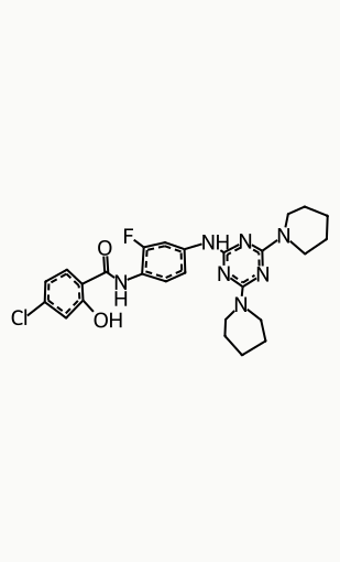 O=C(Nc1ccc(Nc2nc(N3CCCCC3)nc(N3CCCCC3)n2)cc1F)c1ccc(Cl)cc1O